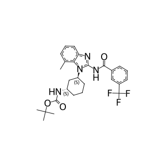 Cc1cccc2nc(NC(=O)c3cccc(C(F)(F)F)c3)n([C@H]3CCC[C@H](NC(=O)OC(C)(C)C)C3)c12